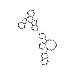 c1cccc(-c2ccc3ccccc3c2)c2ccccc2c(-c2ccc(-c3ccc4c(c3)sc3c5ccccc5c5sc6ccccc6c5c43)cc2)cc1